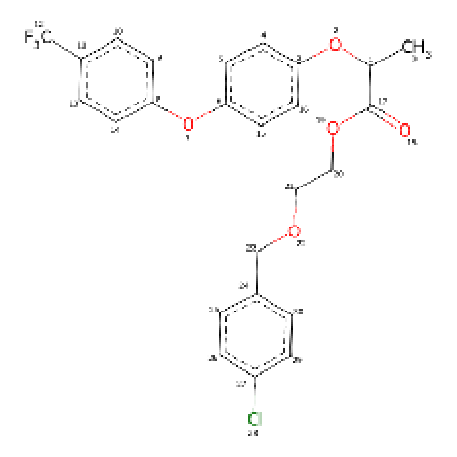 CC(Oc1ccc(Oc2ccc(C(F)(F)F)cc2)cc1)C(=O)OCCOCc1ccc(Cl)cc1